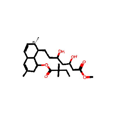 CCC(C)(C)C(=O)OC1CC(C)=CC2C=C[C@H](C)C(CCC(O)CC(O)CC(=O)OC)C21